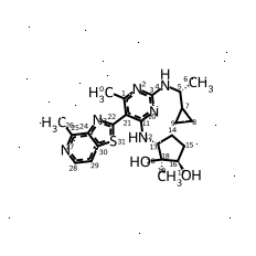 Cc1nc(N[C@H](C)C2CC2)nc(N[C@@H]2CC[C@@H](O)[C@@]2(C)O)c1-c1nc2c(C)nccc2s1